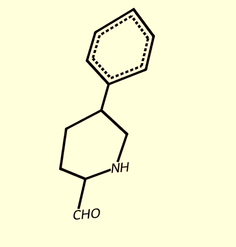 O=CC1CCC(c2ccccc2)CN1